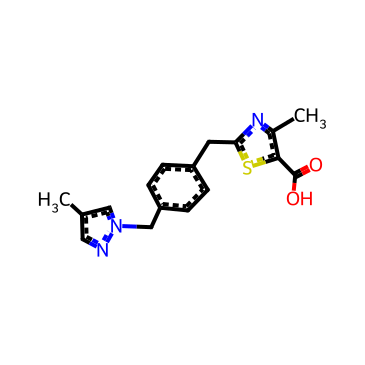 Cc1cnn(Cc2ccc(Cc3nc(C)c(C(=O)O)s3)cc2)c1